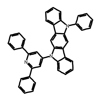 c1ccc(-c2cc(-n3c4ccccc4c4cc5c(cc43)c3ccccc3n5-c3ccccc3)cc(-c3ccccc3)n2)cc1